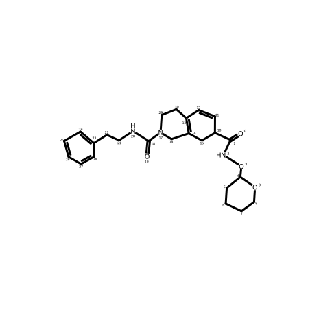 O=C(NOC1CCCCO1)C1C=CC2=C(C1)CN(C(=O)NCCc1ccccc1)CC2